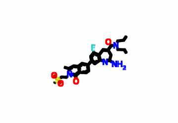 CCCN(CCC)C(=O)C1=Cc2c(F)cc(-c3ccc4c(=O)n(CCS(C)(=O)=O)c(C)cc4c3)cc2N=C(N)C1